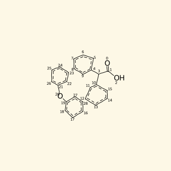 O=C(O)C(c1ccccc1)c1ccccc1.c1ccc(Oc2ccccc2)cc1